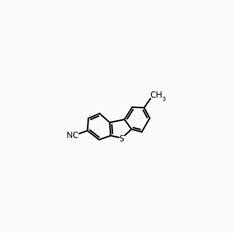 Cc1ccc2sc3cc(C#N)ccc3c2c1